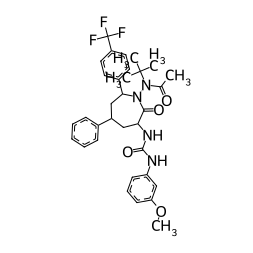 COc1cccc(NC(=O)NC2CC(c3ccccc3)CC(c3ccc(C(F)(F)F)cc3)N(N(C(C)=O)C(C)(C)C)C2=O)c1